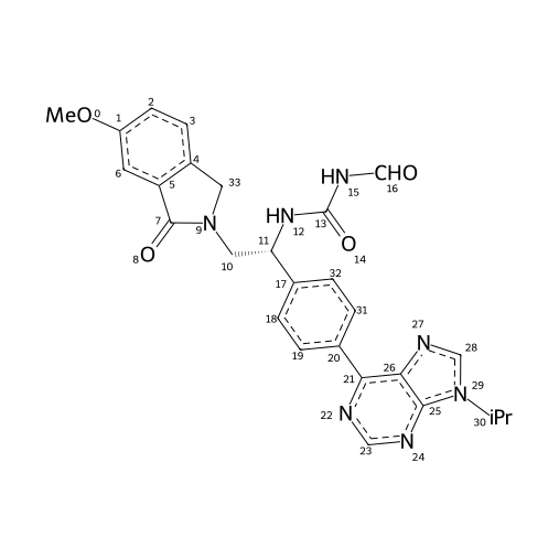 COc1ccc2c(c1)C(=O)N(C[C@H](NC(=O)NC=O)c1ccc(-c3ncnc4c3ncn4C(C)C)cc1)C2